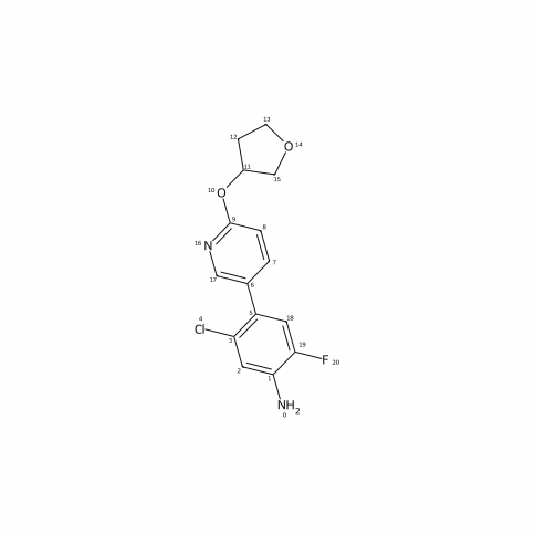 Nc1cc(Cl)c(-c2ccc(OC3CCOC3)nc2)cc1F